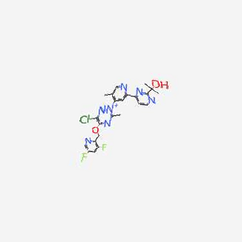 Cc1cnc(-c2ccnc(C(C)(C)O)n2)cc1-[n+]1nc(Cl)c(OCc2ncc(F)cc2F)nc1C